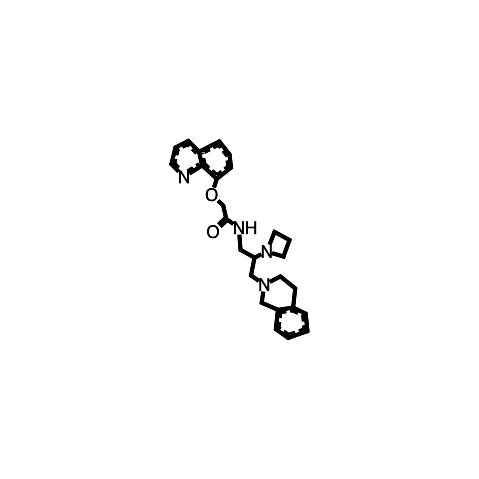 O=C(COc1cccc2cccnc12)NCC(CN1CCc2ccccc2C1)N1CCC1